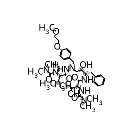 COCCOc1ccc(CN(C[C@H](O)[C@H](Cc2ccccc2)NC(=O)[C@@H](NC(=O)N(C)C)C(C)C)NC(=O)[C@@H](NC(=O)N(C)C)C(C)C)cc1